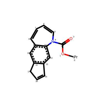 CC(C)OC(=O)N1C=CC=Cc2cc3c(cc21)C=CC3